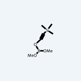 COB(OC)OC#C[Si](C)(C)C